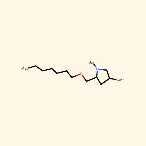 COCCCCCCOCC1CC(OC)CN1C(C)(C)C